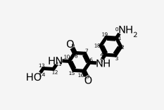 Nc1ccc(NC2=CC(=O)C(NCCO)=CC2=O)cc1